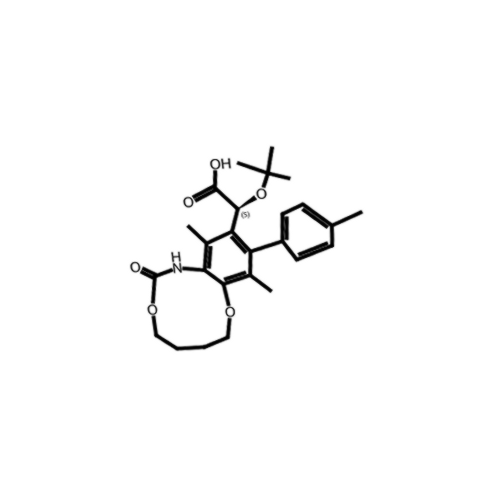 Cc1ccc(-c2c(C)c3c(c(C)c2[C@H](OC(C)(C)C)C(=O)O)NC(=O)OCCCCO3)cc1